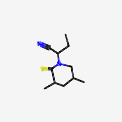 CCC(C#N)N1CC(C)CC(C)C1=S